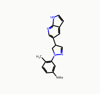 CNc1ccc(C)c(N2CC(c3cnc4[nH]ccc4c3)C=N2)c1